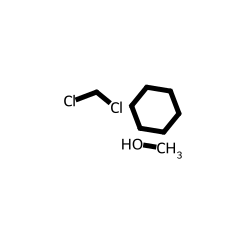 C1CCCCC1.CO.ClCCl